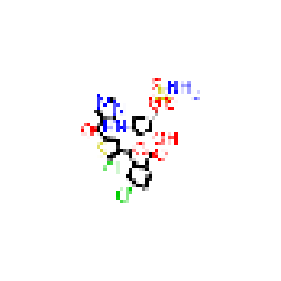 NS(=O)(=O)OC[C@H]1C[C@@H](Nc2ncncc2C(=O)c2cc(C3OC(=O)c4ccc(Cl)cc43)c(Cl)s2)C[C@@H]1O